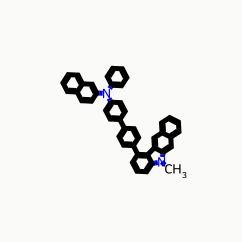 Cn1c2cc3ccccc3cc2c2c(-c3ccc(-c4ccc(N(c5ccccc5)c5ccc6ccccc6c5)cc4)cc3)cccc21